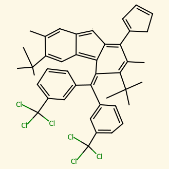 Cc1cc2c(cc1C(C)(C)C)=c1c(c(C3=CC=CC3)c(C)c(C(C)(C)C)c1=C(c1cccc(C(Cl)(Cl)Cl)c1)c1cccc(C(Cl)(Cl)Cl)c1)[C]=2